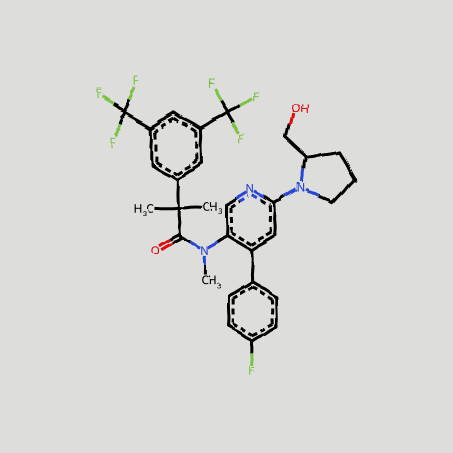 CN(C(=O)C(C)(C)c1cc(C(F)(F)F)cc(C(F)(F)F)c1)c1cnc(N2CCCC2CO)cc1-c1ccc(F)cc1